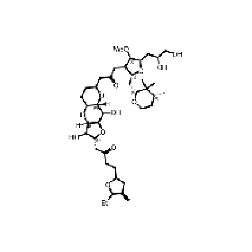 C=C1CC(CCC(=O)C[C@H]2OC3C(O)[C@H]4OC(CC(=O)CC5[C@@H](OC)C(CC(O)CO)O[C@H]5C[C@H]5OCC[C@@H](C)C5(C)C)CCC4O[C@H]3C2O)OC1CC